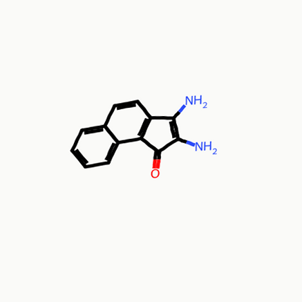 NC1=C(N)c2ccc3ccccc3c2C1=O